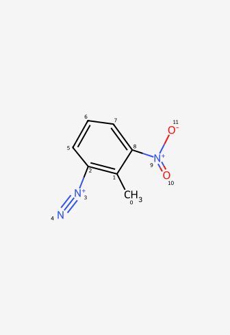 Cc1c([N+]#N)cccc1[N+](=O)[O-]